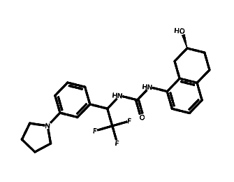 O=C(Nc1cccc2c1C[C@@H](O)CC2)NC(c1cccc(N2CCCC2)c1)C(F)(F)F